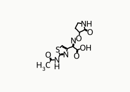 CC(=O)Nc1nc(C(=NOC2CCNC2=O)C(=O)O)cs1